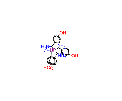 NC(c1ccc(O)cc1)[PH](C(N)c1ccc(O)cc1)(C(N)c1ccc(O)cc1)C(N)c1ccc(O)cc1